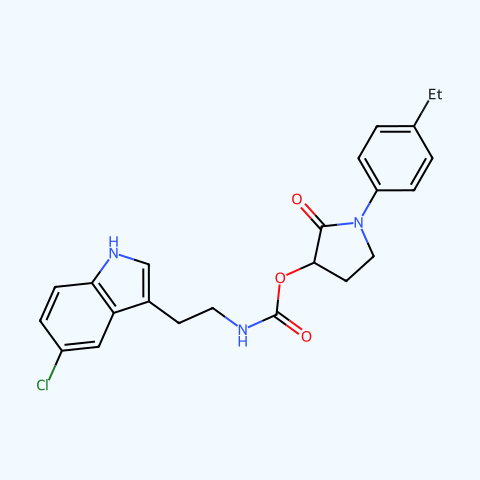 CCc1ccc(N2CCC(OC(=O)NCCc3c[nH]c4ccc(Cl)cc34)C2=O)cc1